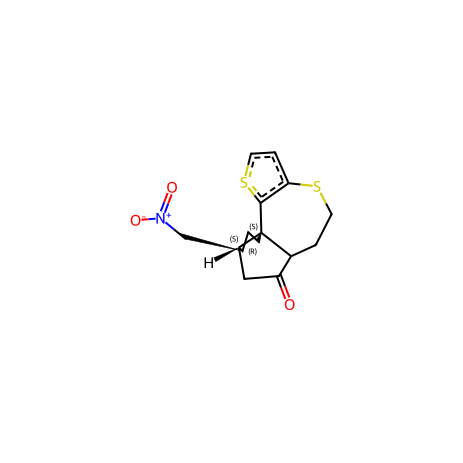 O=C1C[C@H]2[C@H](C[N+](=O)[O-])CC[C@]23c2sccc2SCCC13